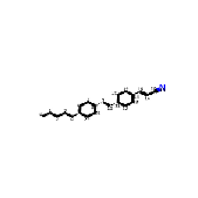 CCCCC[C@H]1CC[C@H](CC[C@H]2CC[C@H](C=CC#N)CC2)CC1